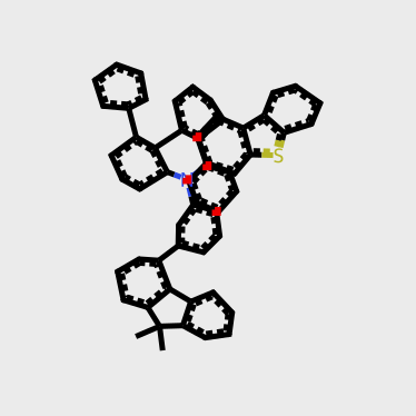 CC1(C)c2ccccc2-c2c(-c3cccc(N(c4ccc5c(c4)sc4ccccc45)c4cccc(-c5ccccc5)c4-c4ccccc4-c4ccccc4)c3)cccc21